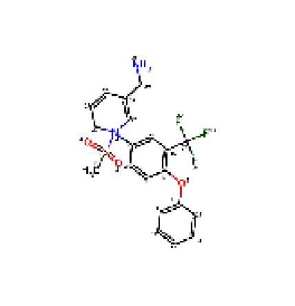 CS(=O)(=O)[N+]1(c2ccc(Oc3ccccc3)c(C(F)(F)F)c2)C=C(CN)C=CC1